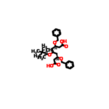 CC(C)(C)[Si](C)(C)OC(C[C@H](CC(=O)O)OCc1ccccc1)C[C@H](CC(=O)O)OCc1ccccc1